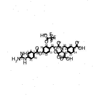 N=C(N)Nc1ccc(C(=O)Oc2ccc(COC(=O)N(Cc3cccc(C(=O)O)c3)[C@@H](CC(=O)O)C(=O)O)cc2)cc1.O=C(O)C(F)(F)F